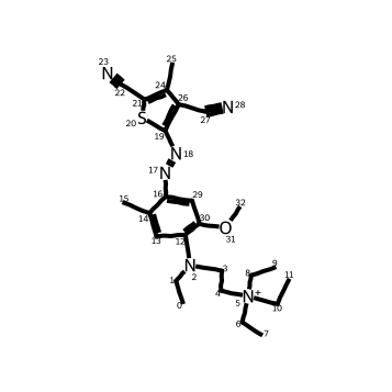 CCN(CC[N+](CC)(CC)CC)c1cc(C)c(/N=N/c2sc(C#N)c(C)c2C#N)cc1OC